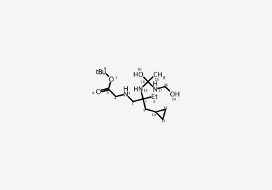 CCC(CNCC(=O)OC(C)(C)C)(CC1CC1)NC(C)(O)NCO